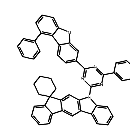 c1ccc(-c2nc(-c3ccc4c(c3)oc3cccc(-c5ccccc5)c34)nc(-n3c4ccccc4c4cc5c(cc43)C3(CCCCC3)c3ccccc3-5)n2)cc1